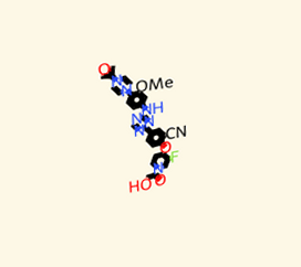 COc1cc(Nc2ncnc(-c3ccc(OC4CCN(C(=O)CO)CC4F)c(C#N)c3)n2)ccc1N1CCN(C2COC2)CC1